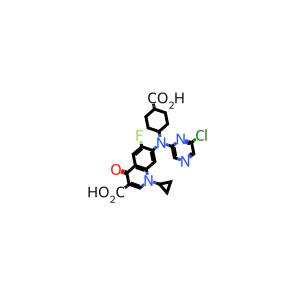 O=C(O)c1cn(C2CC2)c2cc(N(c3cncc(Cl)n3)C3CCC(C(=O)O)CC3)c(F)cc2c1=O